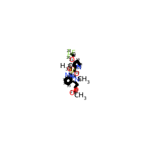 CC(=O)OCCCN(C)C(=O)n1c([S+]([O-])Cc2nccc(OCC(F)(F)F)c2C)nc2ccccc21